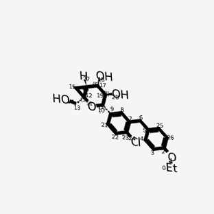 CCOc1ccc(Cc2cc([C@@H]3O[C@@]4(CO)C[C@H]4[C@H](O)[C@H]3O)ccc2Cl)cc1